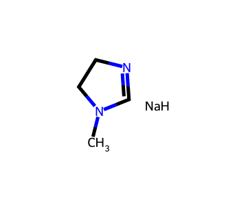 CN1C=NCC1.[NaH]